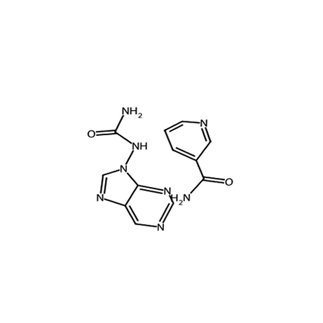 NC(=O)Nn1cnc2cncnc21.NC(=O)c1cccnc1